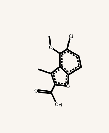 COc1c(Cl)ccc2oc(C(=O)O)c(C)c12